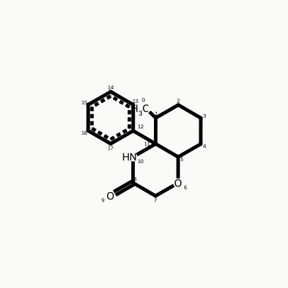 CC1CCCC2OCC(=O)NC12c1ccccc1